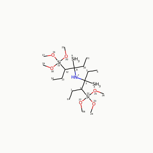 CCC(C([SiH3])(CC)NC([SiH3])(CC)C(CC)[Si](OC)(OC)OC)[Si](OC)(OC)OC